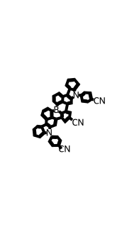 N#Cc1ccc(-n2c3ccccc3c3c4cccc5c4c(cc32)-c2cc(C#N)cc3c2B5c2cccc4c2c-3cc2c4c3ccccc3n2-c2ccc(C#N)cc2)cc1